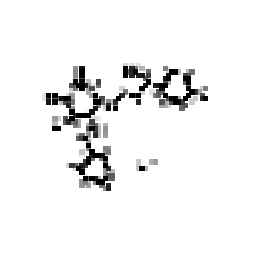 Cl.O=c1[nH]nc(OCC[C@H](O)c2ccc(Cl)cc2)c(NCc2cccnc2)c1Br